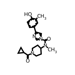 Cc1cc(-c2cn(C(=O)N(C)C3CCN(C(=O)C4CC4)CC3)cn2)ccc1O